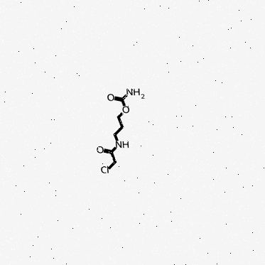 NC(=O)OCCCNC(=O)CCl